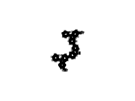 CCCc1ccc2c(c1)c1cc(-c3ccc4[nH]c5ccc(-c6ccc7c(c6)c6cc(CCC)ccc6n7-c6ccccc6)cc5c4c3)ccc1n2-c1ccccc1